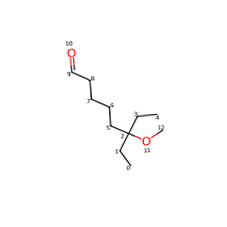 CCC(CC)(CCCCC=O)OC